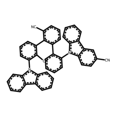 N#Cc1ccc2c(c1)c1ccccc1n2-c1ccccc1-c1cccc(C#N)c1-c1cccc(-n2c3ccccc3c3ccccc32)c1C#N